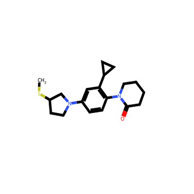 CSC1CCN(c2ccc(N3CCCCC3=O)c(C3CC3)c2)C1